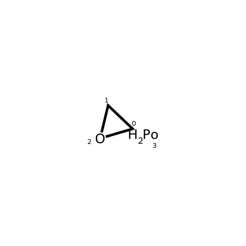 C1CO1.[PoH2]